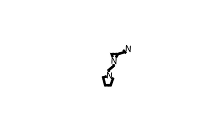 N#CC1CN1CCN1CCCC1